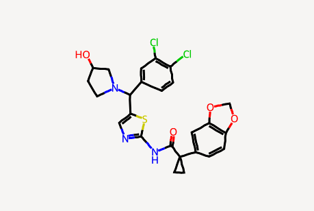 O=C(Nc1ncc(C(c2ccc(Cl)c(Cl)c2)N2CCC(O)C2)s1)C1(c2ccc3c(c2)OCO3)CC1